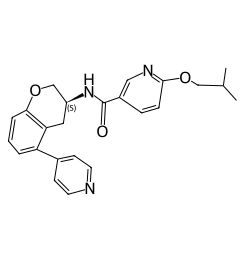 CC(C)COc1ccc(C(=O)N[C@@H]2COc3cccc(-c4ccncc4)c3C2)cn1